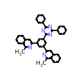 Cc1nc(-c2cc(-c3cc4ccccc4c(C)n3)cc(-c3nc(-c4ccccc4)nc(-c4ccccc4)n3)c2)cc2ccccc12